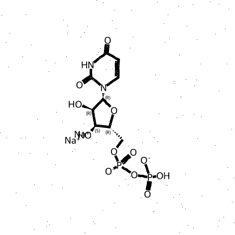 O=c1ccn([C@@H]2O[C@H](COP(=O)([O-])OP(=O)([O-])O)[C@@H](O)[C@H]2O)c(=O)[nH]1.[Na+].[Na+]